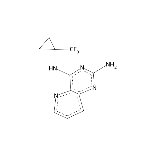 Nc1nc(NC2(C(F)(F)F)CC2)c2ncccc2n1